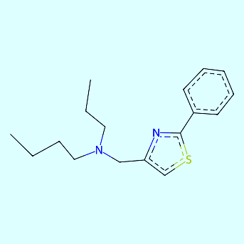 CCCCN(CCC)Cc1csc(-c2ccccc2)n1